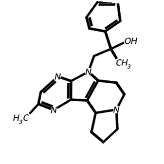 Cc1cnc2c(n1)c1c(n2CC(C)(O)c2ccccc2)CCN2CCCC12